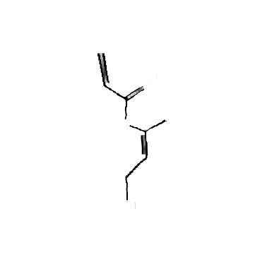 C=CC(=O)O/C(C)=C\CO